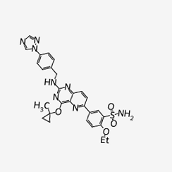 CCOc1ccc(-c2ccc3nc(NCc4ccc(-n5cncn5)cc4)nc(OC4(C)CC4)c3n2)cc1S(N)(=O)=O